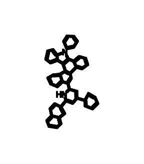 C1=C(c2ccccc2)C=C(c2ccc3ccccc3c2)NC1c1cc2c3ccccc3c3c(c4ccccc4n3-c3ccccc3)c2c2ccccc12